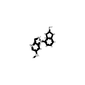 COc1cnc2cnn(-c3cccc4c3CC(F)C4)c2c1